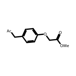 COC(=O)COc1ccc(CC(C)=O)cc1